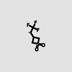 O=S1(=O)CC([CH]C(F)(F)F)C1